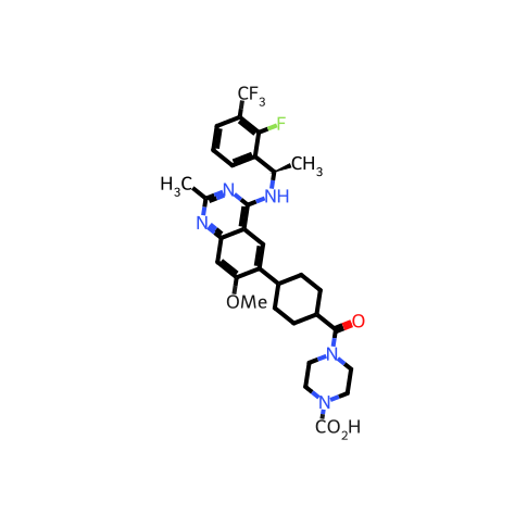 COc1cc2nc(C)nc(N[C@H](C)c3cccc(C(F)(F)F)c3F)c2cc1C1CCC(C(=O)N2CCN(C(=O)O)CC2)CC1